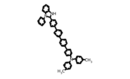 Cc1ccc(N(c2ccc(C)cc2)c2ccc(-c3ccc(-c4ccc(-c5ccc(C6Nc7ccccc7N6c6ccccc6)cc5)cc4)cc3)cc2)cc1